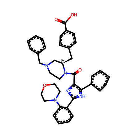 O=C(O)c1ccc(C[C@@H]2CN(Cc3ccccc3)CCN2C(=O)c2nc(-c3ccccc3N3CCOCC3)[nH]c2-c2ccccc2)cc1